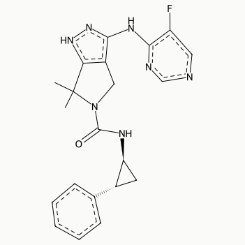 CC1(C)c2[nH]nc(Nc3ncncc3F)c2CN1C(=O)N[C@H]1C[C@@H]1c1ccccc1